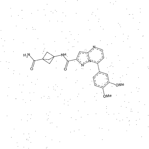 COc1ccc(-c2ccnc3cc(C(=O)NC45CC(C(N)=O)(C4)C5)nn23)cc1OC